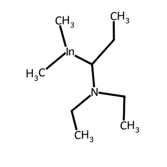 CC[CH](N(CC)CC)[In]([CH3])[CH3]